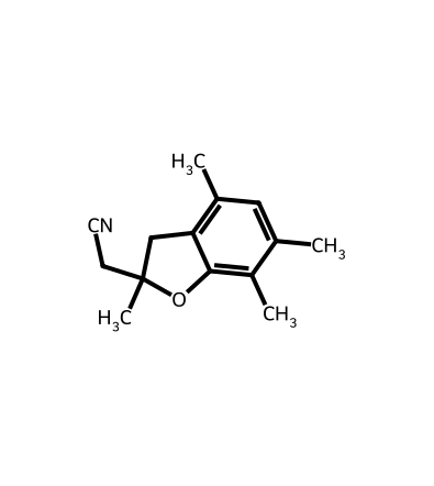 Cc1cc(C)c2c(c1C)OC(C)(CC#N)C2